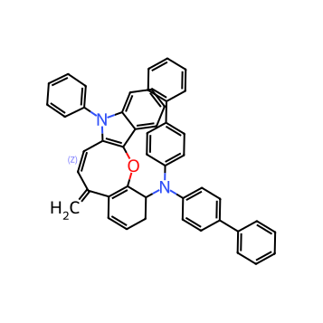 C=C1/C=C\c2c(c3ccccc3n2-c2ccccc2)OC2=C1C=CCC2N(c1ccc(-c2ccccc2)cc1)c1ccc(-c2ccccc2)cc1